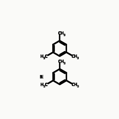 Cc1cc(C)cc(C)c1.Cc1cc(C)cc(C)c1.[B]